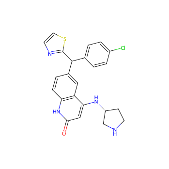 O=c1cc(N[C@@H]2CCNC2)c2cc(C(c3ccc(Cl)cc3)c3nccs3)ccc2[nH]1